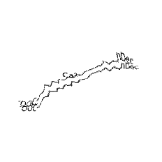 CCCCCCCCCCCCCCCCCCCCCCCCCCCCCC(=O)[O-].CCCCCCCCCCCCCCCCCCCCCCCCCCCCCC(=O)[O-].[Ca+2]